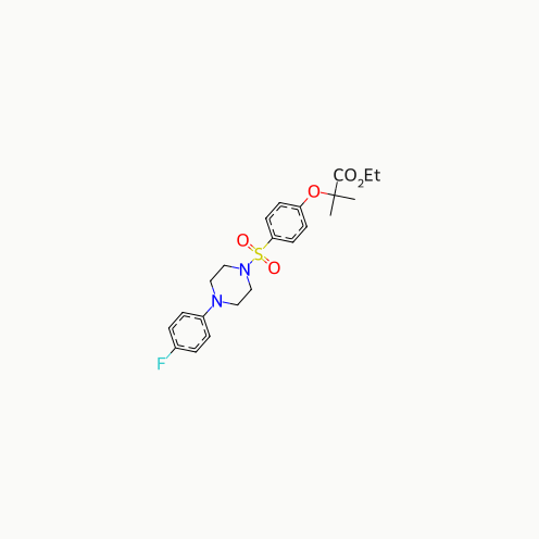 CCOC(=O)C(C)(C)Oc1ccc(S(=O)(=O)N2CCN(c3ccc(F)cc3)CC2)cc1